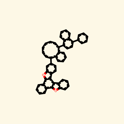 c1ccc(-c2ccc(-c3ccccccc(-c4ccc5c(c4)oc4c6ccccc6c6oc7ccccc7c6c54)c4ccccc34)c3ccccc23)cc1